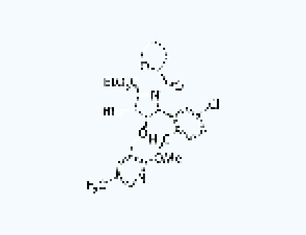 CCOC(=O)[C@@H]1[C@@H](C(C)(C)C)[C@H](OCc2cc(C(F)(F)F)cnc2OC)[C@H](c2cc(Cl)ccc2C)N1C(=O)[C@@H]1CCCCO1